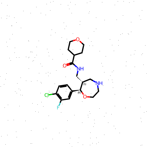 O=C(NC[C@@H]1CNCCO[C@H]1c1ccc(Cl)c(F)c1)C1CCOCC1